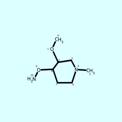 COC1CN(C)CCC1ON